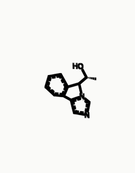 C[C@@H](O)C1c2ccccc2-c2cncn21